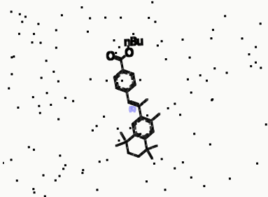 CCCCOC(=O)c1ccc(/C=C(\C)c2cc3c(cc2C)C(C)(C)CCC3(C)C)cc1